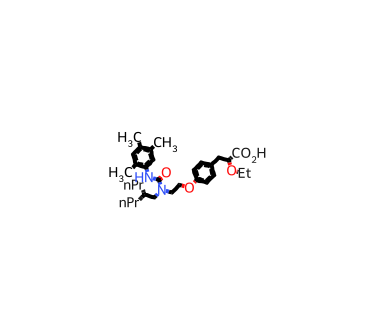 CCCC(CCC)CN(CCOc1ccc(CC(OCC)C(=O)O)cc1)C(=O)Nc1cc(C)c(C)cc1C